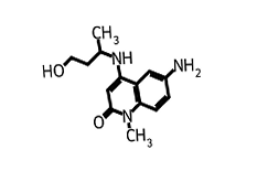 CC(CCO)Nc1cc(=O)n(C)c2ccc(N)cc12